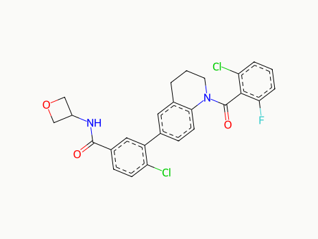 O=C(NC1COC1)c1ccc(Cl)c(-c2ccc3c(c2)CCCN3C(=O)c2c(F)cccc2Cl)c1